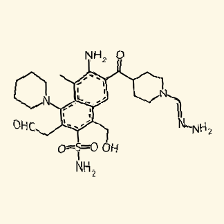 Cc1c(N)c(C(=O)C2CCN(C=NN)CC2)cc2c(CO)c(S(N)(=O)=O)c(CC=O)c(N3CCCCC3)c12